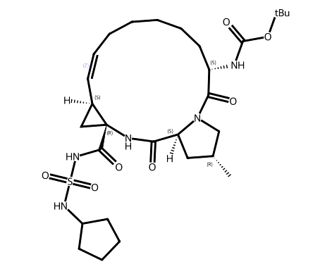 C[C@@H]1C[C@H]2C(=O)N[C@]3(C(=O)NS(=O)(=O)NC4CCCC4)C[C@H]3/C=C\CCCCC[C@H](NC(=O)OC(C)(C)C)C(=O)N2C1